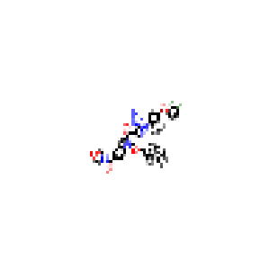 C[Si](C)(C)CCOCn1c(C(=O)c2cnn(-c3ccc(Oc4cccc(F)c4F)cc3C#N)c2N)cc2cc(C(=O)N3CCOCC3)ccc21